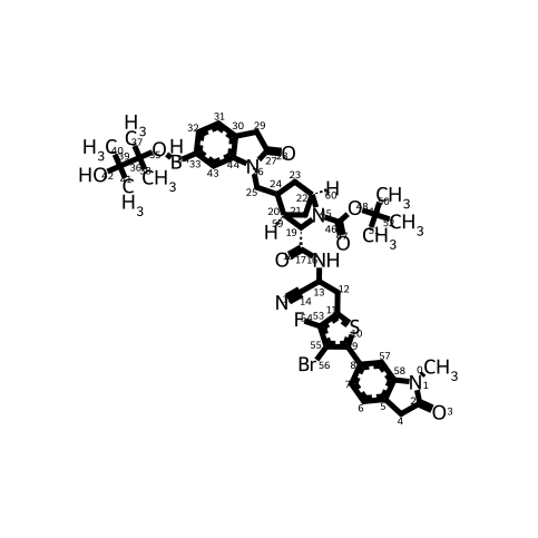 CN1C(=O)Cc2ccc(-c3sc(CC(C#N)NC(=O)[C@@H]4[C@@H]5C[C@@H](CC5CN5C(=O)Cc6ccc(BOC(C)(C)C(C)(C)O)cc65)N4C(=O)OC(C)(C)C)c(F)c3Br)cc21